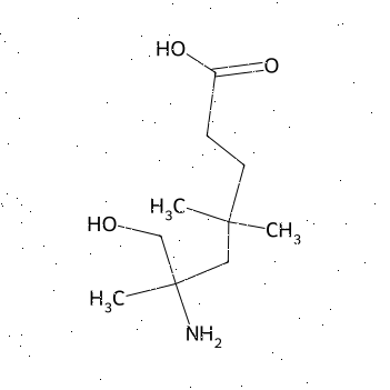 CC(C)(CCC(=O)O)CC(C)(N)CO